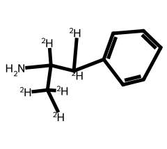 [2H]C([2H])([2H])C([2H])(N)C([2H])([2H])c1ccccc1